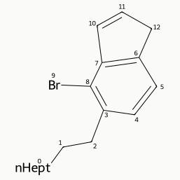 CCCCCCCCCc1ccc2c(c1Br)C=CC2